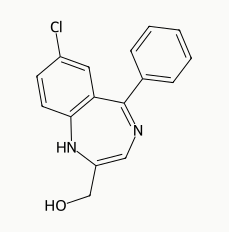 OCC1=CN=C(c2ccccc2)c2cc(Cl)ccc2N1